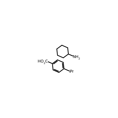 CC(C)c1ccc(C(=O)O)cc1.NC1CCCCC1